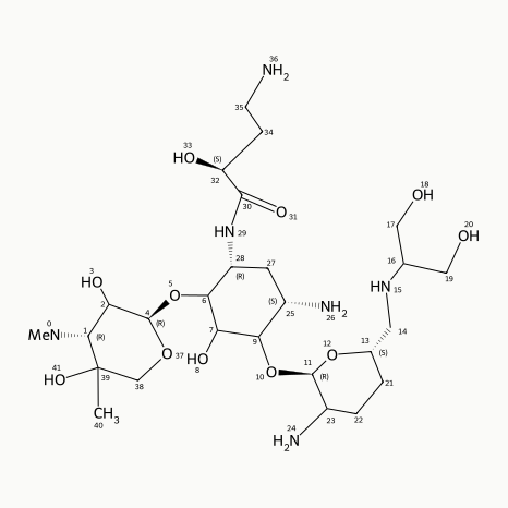 CN[C@@H]1C(O)[C@@H](OC2C(O)C(O[C@H]3O[C@H](CNC(CO)CO)CCC3N)[C@@H](N)C[C@H]2NC(=O)[C@@H](O)CCN)OCC1(C)O